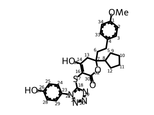 COc1ccc(CCC2(C3CCCC3)CC(O)=C(Sc3nnnn3-c3ccc(O)cc3)C(=O)O2)cc1